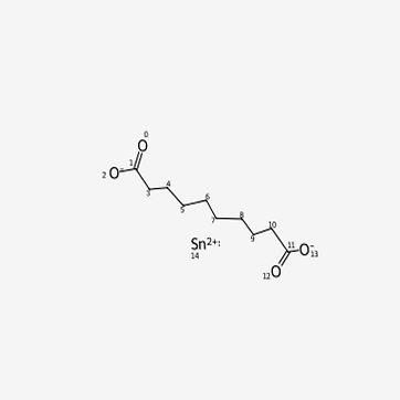 O=C([O-])CCCCCCCCC(=O)[O-].[Sn+2]